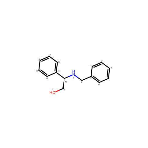 OC[C@H](NCc1ccccc1)c1ccccc1